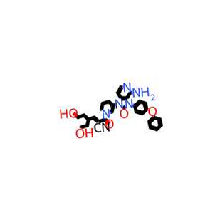 N#CC(=CC(CCO)CCO)C(=O)N1CCC[C@@H](n2c(=O)n(-c3ccc(Oc4ccccc4)cc3)c3c(N)nccc32)C1